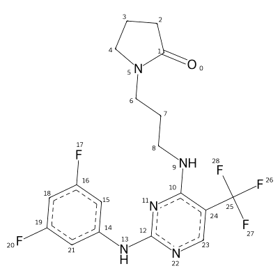 O=C1CCCN1CCCNc1nc(Nc2cc(F)cc(F)c2)ncc1C(F)(F)F